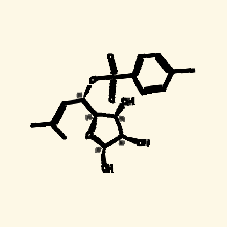 CC(C)=C[C@H](OS(=O)(=O)c1ccc(C)cc1)[C@@H]1O[C@H](O)[C@H](O)[C@@H]1O